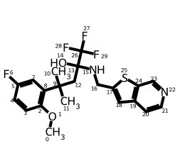 COc1ccc(F)cc1C(C)(C)CC(O)(NCc1cc2ccncc2s1)C(F)(F)F